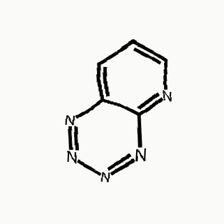 c1cnc2nnnnc2c1